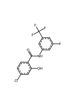 O=C(Nc1cc(F)cc(C(F)(F)F)c1)c1ccc(Cl)cc1O